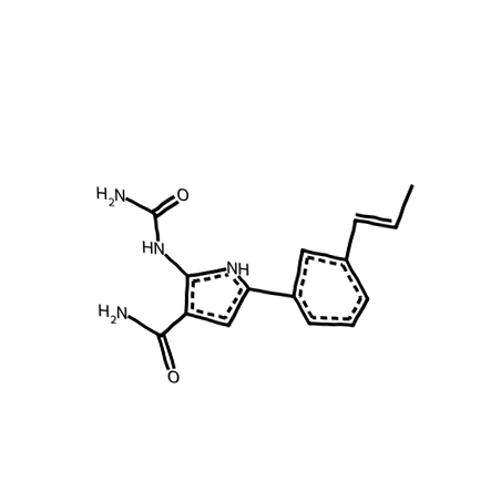 CC=Cc1cccc(-c2cc(C(N)=O)c(NC(N)=O)[nH]2)c1